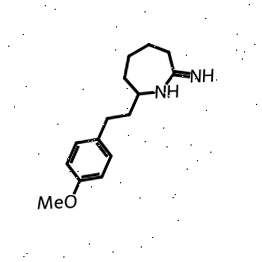 COc1ccc(CCC2CCCCC(=N)N2)cc1